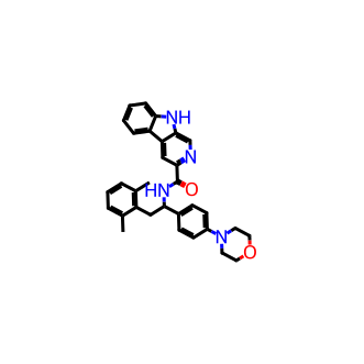 Cc1cccc(C)c1CC(NC(=O)c1cc2c(cn1)[nH]c1ccccc12)c1ccc(N2CCOCC2)cc1